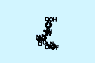 Cc1c(-c2cc(OCC(O)c3ccc(F)cn3)c3c(Cl)cnn3c2)nnn1C1CCN(C(=O)O)CC1